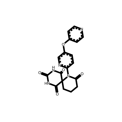 O=C1NC(=O)C2(CCCC(=O)N2c2ccc(Oc3ccncc3)cn2)C(=O)N1